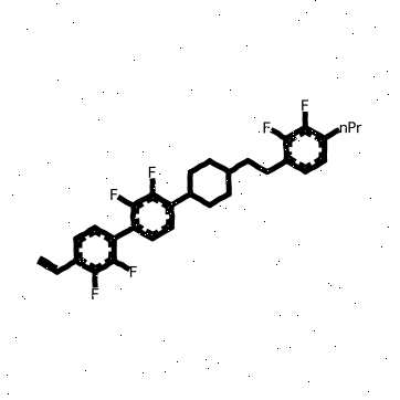 C=Cc1ccc(-c2ccc(C3CCC(CCc4ccc(CCC)c(F)c4F)CC3)c(F)c2F)c(F)c1F